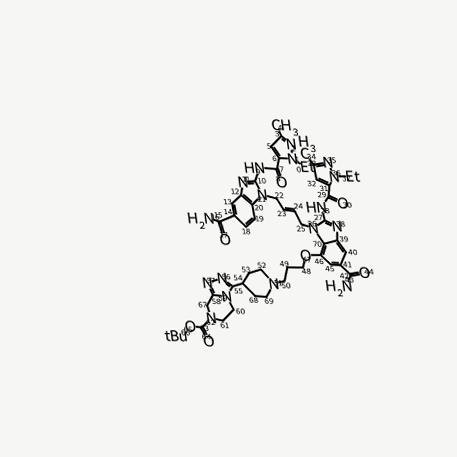 CCn1nc(C)cc1C(=O)Nc1nc2cc(C(N)=O)ccc2n1C/C=C/Cn1c(NC(=O)c2cc(C)nn2CC)nc2cc(C(N)=O)cc(OCCCN3CCC(c4nnc5n4CCN(C(=O)OC(C)(C)C)C5)CC3)c21